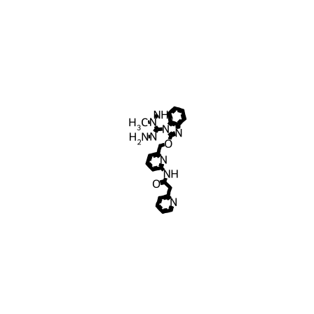 CN(N)/C(=N\N)n1c(OCc2cccc(NC(=O)Cc3ccccn3)n2)nc2ccccc21